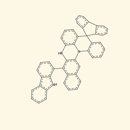 B1c2cccc3c2N(c2ccccc2C32c3ccccc3-c3ccccc32)c2cc3ccccc3c(-c3cccc4c3[nH]c3ccccc34)c21